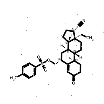 CC[C@]12CC[C@H]3[C@@H](C[C@@H](COS(=O)(=O)c4ccc(C)cc4)C4=CC(=O)CC[C@@H]43)[C@@H]1CC[C@@H]2C#N